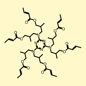 CC=CC(=O)OCC(C)CN(CC(C)COC(=O)C=CC)c1nc(N(CC(C)COC(=O)C=CC)CC(C)COC(=O)C=CC)nc(N(CC(C)COC(=O)C=CC)CC(C)COC(=O)C=CC)n1